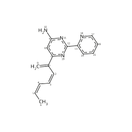 C=C(/C=C\C=C/C)c1cc(N)nc(-c2ccccn2)n1